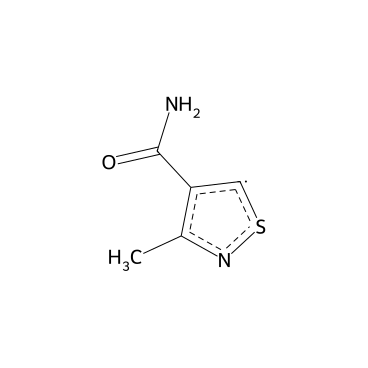 Cc1ns[c]c1C(N)=O